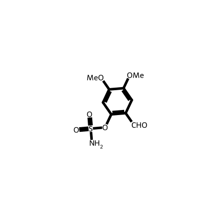 COc1cc(C=O)c(OS(N)(=O)=O)cc1OC